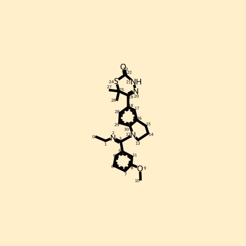 CCN=C(c1cccc(OC)c1)N1CCCc2cc(C3=NNC(=O)SC3(C)C)ccc21